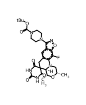 C[C@H]1CN2c3c(cc4c(N5CCN(C(=O)OC(C)(C)C)CC5)noc4c3F)CC3(C(=O)NC(=O)NC3=O)[C@@H]2[C@@H](C)O1